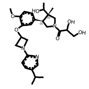 COc1ccc([C@@H]2CN(C(=O)C(O)CO)C[C@@]2(C)C(C)O)cc1OC1CN(c2ccc(C(C)C)cn2)C1